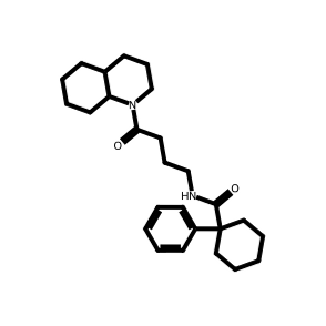 O=C(CCCNC(=O)C1(c2ccccc2)CCCCC1)N1CCCC2CCCCC21